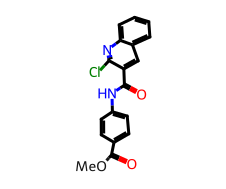 COC(=O)c1ccc(NC(=O)c2cc3ccccc3nc2Cl)cc1